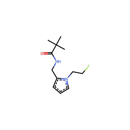 CC(C)(C)C(=O)NCc1cccn1CCF